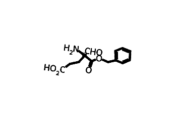 N[C@]([C]=O)(CCC(=O)O)C(=O)OCc1ccccc1